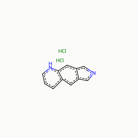 Cl.Cl.c1c[nH]c2cc3cncc3cc2c1